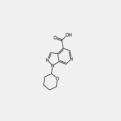 O=C(O)c1cncc2c1cnn2C1CCCCO1